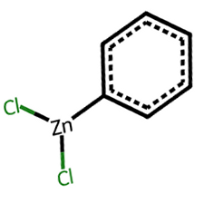 [Cl][Zn]([Cl])[c]1ccccc1